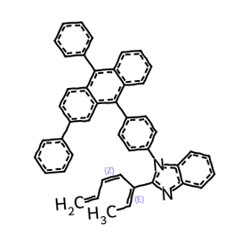 C=C/C=C\C(=C/C)c1nc2ccccc2n1-c1ccc(-c2c3ccccc3c(-c3ccccc3)c3ccc(-c4ccccc4)cc23)cc1